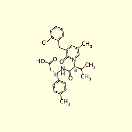 Cc1ccc([C@H](CC(=O)O)NC(=O)[C@H](C(C)C)n2cc(C)cc(Cc3ccccc3Cl)c2=O)cc1